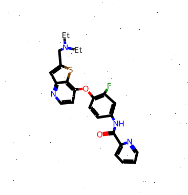 CCN(CC)Cc1cc2nccc(Oc3ccc(NC(=O)c4ccccn4)cc3F)c2s1